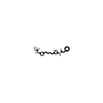 COC(=O)Nc1nnc(CCCCc2nnc(NC(=O)Cc3ccccc3)s2)s1